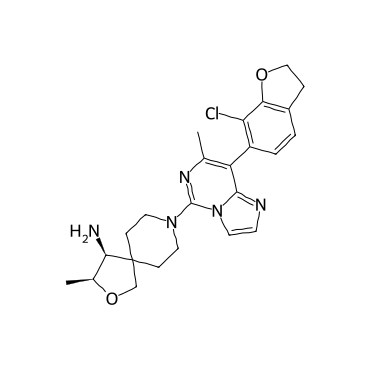 Cc1nc(N2CCC3(CC2)CO[C@@H](C)[C@H]3N)n2ccnc2c1-c1ccc2c(c1Cl)OCC2